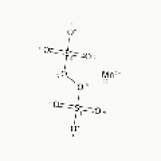 O=S(=O)([O-])OOS(=O)(=O)[O-].[Mn+2]